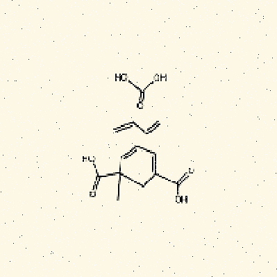 C=CC=C.CC1(C(=O)O)C=CC=C(C(=O)O)C1.O=C(O)O